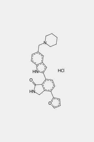 Cl.O=C1NCc2c(-c3ccco3)ccc(-c3cc4cc(CN5CCCCC5)ccc4[nH]3)c21